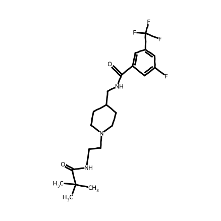 CC(C)(C)C(=O)NCCN1CCC(CNC(=O)c2cc(F)cc(C(F)(F)F)c2)CC1